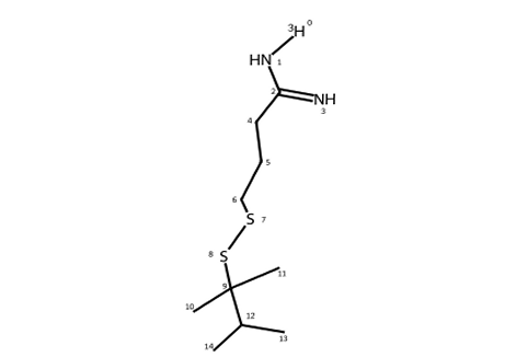 [3H]NC(=N)CCCSSC(C)(C)C(C)C